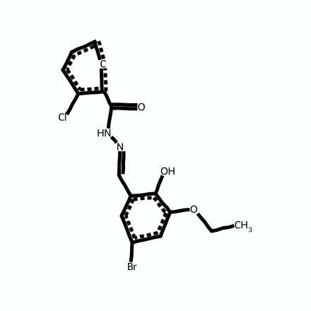 CCOc1cc(Br)cc(C=NNC(=O)c2ccccc2Cl)c1O